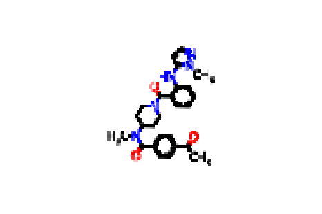 CC(=O)c1ccc(C(=O)N(C)C2CCN(C(=O)c3ccccc3Nc3ccnn3C)CC2)cc1